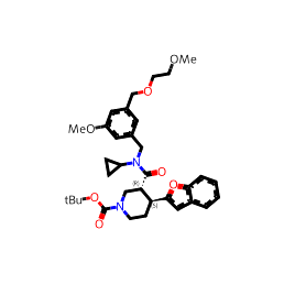 COCCOCc1cc(CN(C(=O)[C@H]2CN(C(=O)OC(C)(C)C)CC[C@@H]2c2cc3ccccc3o2)C2CC2)cc(OC)c1